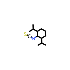 CC(C)C1CCCC(C(C)C)C1N=C=S